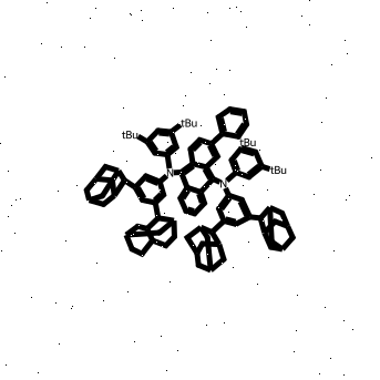 CC(C)(C)c1cc(N(c2cc(C3C4CC5CC(C4)CC3C5)cc(C3C4CCC5CCC(C4)CC53)c2)c2c3ccccc3c(N(c3cc(C4C5CC6CC(C5)CC4C6)cc(C4C5CC6CC(C5)CC4C6)c3)c3cc(C(C)(C)C)cc(C(C)(C)C)c3)c3cc(-c4ccccc4)ccc23)cc(C(C)(C)C)c1